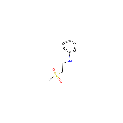 CS(=O)(=O)CCNc1ccccc1